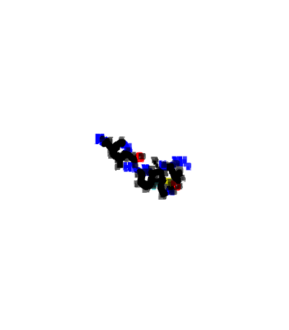 Cc1cc(C#N)cnc1C(=O)Nc1ccc(F)c([C@@]2(C)N=C(N)C(C)(C)[S@@]3(=O)=NCC[C@@H]23)n1